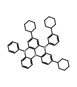 c1ccc(N2c3ccccc3B3c4ccc(C5CCCCC5)cc4N(c4cccc(C5CCCCC5)c4)c4cc(C5CCCCC5)cc2c43)cc1